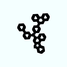 c1ccc(-c2cccc(N(c3ccc(-c4cc5ccccc5c5ccccc45)cc3)c3cc4sc5ccccc5c4c4ccccc34)c2)cc1